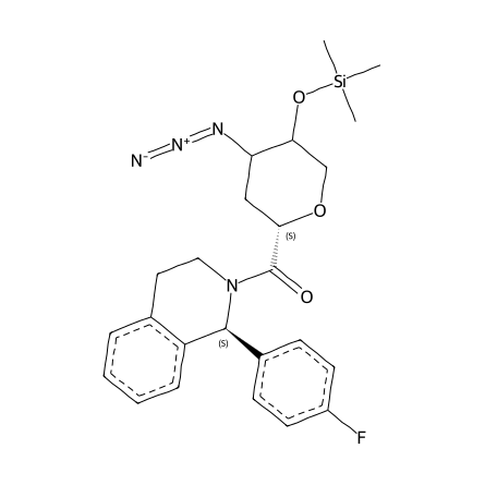 C[Si](C)(C)OC1CO[C@H](C(=O)N2CCc3ccccc3[C@@H]2c2ccc(F)cc2)CC1N=[N+]=[N-]